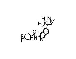 CN(N)/C=C(\N)c1ccc2cnc(NC(=O)C3CCC(F)(F)CC3)cc2c1